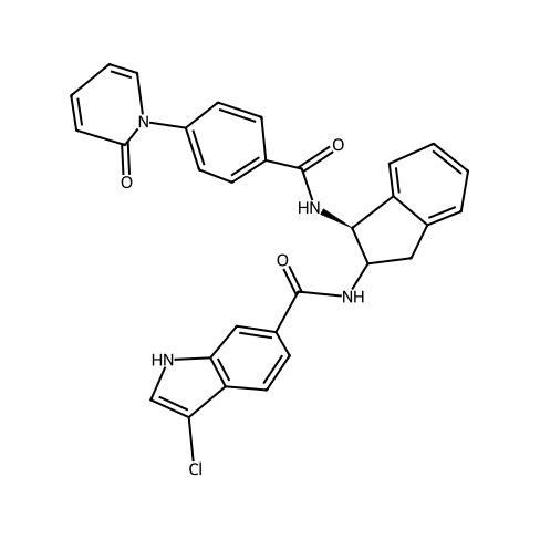 O=C(NC1Cc2ccccc2[C@@H]1NC(=O)c1ccc(-n2ccccc2=O)cc1)c1ccc2c(Cl)c[nH]c2c1